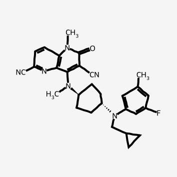 Cc1cc(F)cc(N(CC2CC2)[C@H]2CC[C@H](N(C)c3c(C#N)c(=O)n(C)c4ccc(C#N)nc34)CC2)c1